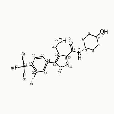 O=C(N[C@H]1CC[C@H](O)CC1)c1noc(-c2ccc(C(F)(F)F)c(F)c2)c1CO